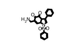 NCC1=CC2C(C(=O)C1=O)C(c1ccccc1)=CN2S(=O)(=O)c1ccccc1